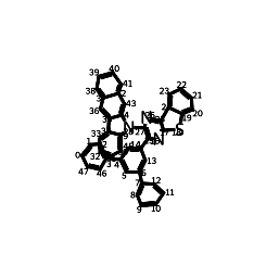 c1ccc(-c2cc(-c3ccccc3)cc(-c3nc4sc5ccccc5c4nc3-n3c4ccccc4c4cc5ccccc5cc43)c2)cc1